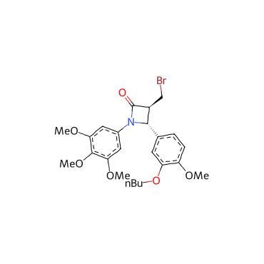 CCCCOc1cc([C@H]2[C@H](CBr)C(=O)N2c2cc(OC)c(OC)c(OC)c2)ccc1OC